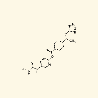 CC(Sc1nnn[nH]1)C1CCN(C(=O)Oc2ccc(NC(=S)NC(C)(C)C)cn2)CC1